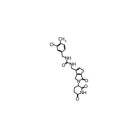 Cc1ccc(CNC(=O)NCc2csc3c2CN(C2CCC(=O)NC2=O)C3=O)cc1Cl